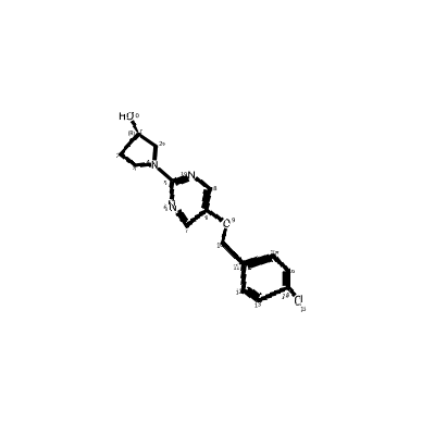 O[C@@H]1CCN(c2ncc(OCc3ccc(Cl)cc3)cn2)C1